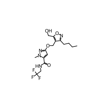 CCCCc1noc(CO)c1COc1cc(C(=O)NCC(F)(F)F)n(C)n1